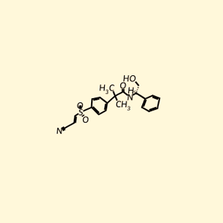 CC(C)(C(=O)N[C@H](CO)c1ccccc1)c1ccc(S(=O)(=O)C=CC#N)cc1